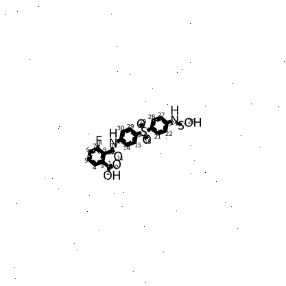 O=C(O)c1cccc(F)c1C(=O)Nc1ccc(S(=O)(=O)c2ccc(NSO)cc2)cc1